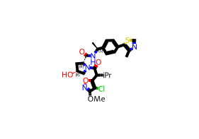 COc1noc(C(C(=O)N2C[C@H](O)C[C@@H]2C(=O)N[C@@H](C)c2ccc(-c3scnc3C)cc2)C(C)C)c1Cl